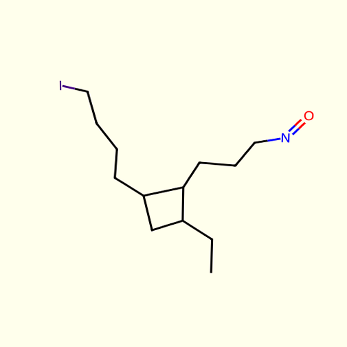 CCC1CC(CCCCI)C1CCCN=O